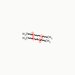 CCCCCC(=O)OCCCCCCOC(=O)CCCCC.CCCCCC(=O)OCCCCOC(=O)CCCCC